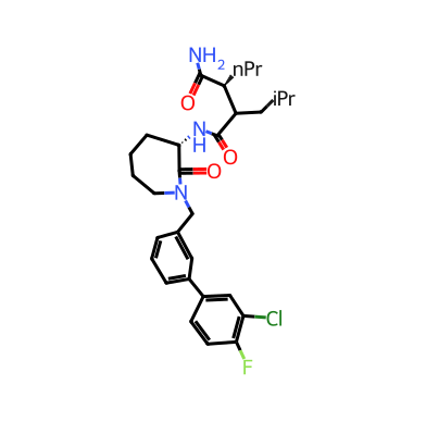 CCC[C@H](C(N)=O)C(CC(C)C)C(=O)N[C@H]1CCCCN(Cc2cccc(-c3ccc(F)c(Cl)c3)c2)C1=O